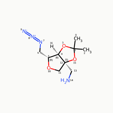 CC1(C)O[C@@H]2[C@@H](CN=[N+]=[N-])OC[C@]2(CN)O1